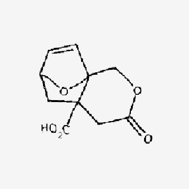 O=C1CC2(C(=O)O)CC3C=CC2(CO1)O3